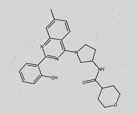 Cc1ccc2c(N3CCC(NC(=O)C4CCOCC4)C3)nc(-c3ccccc3O)nc2c1